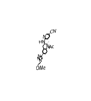 COCCn1cc(-c2ccc3c(c2)CC(Nc2ccc(C#N)cn2)[C@H](C)N3C(C)=O)nn1